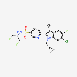 N#Cc1c(-c2ccc(S(=O)(=O)NC(CF)CF)cn2)n(CC2CC2)c2cc(Cl)c(F)cc12